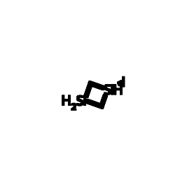 I[SiH]1C[SiH2]C1